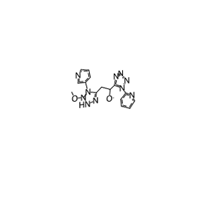 CON1NN=C(CC([O])c2nnnn2-c2ccccn2)N1c1cccnc1